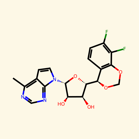 Cc1ncnc2c1ccn2[C@@H]1O[C@H]([C@@H]2OCOc3c2ccc(F)c3F)[C@@H](O)[C@H]1O